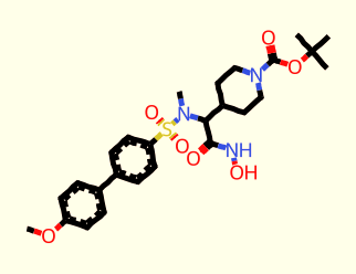 COc1ccc(-c2ccc(S(=O)(=O)N(C)C(C(=O)NO)C3CCN(C(=O)OC(C)(C)C)CC3)cc2)cc1